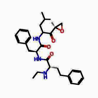 CCN[C@@H](CCc1ccccc1)C(=O)N[C@@H](Cc1ccccc1)C(=O)NC(CC(C)C)C(=O)[C@@]1(C)CO1